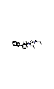 C/C=N/O/C(C)=C/c1ncnc(N2Cc3ccncc3C2)c1C